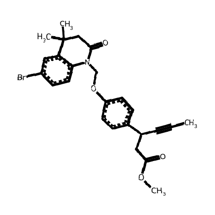 CC#CC(CC(=O)OC)c1ccc(OCN2C(=O)CC(C)(C)c3cc(Br)ccc32)cc1